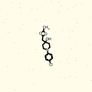 CC1OC(CC2(O)CCN(c3ccc(Cl)cc3)CC2)O1